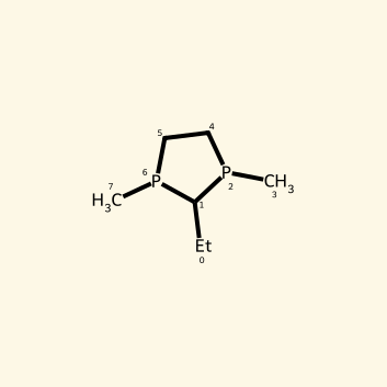 CCC1P(C)CCP1C